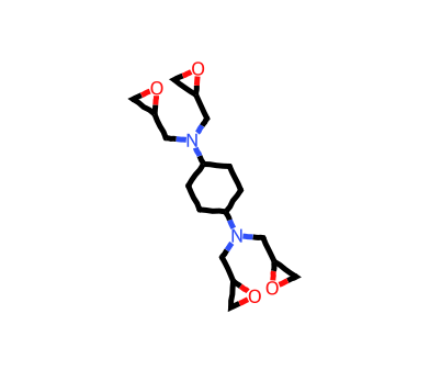 C1OC1CN(CC1CO1)C1CCC(N(CC2CO2)CC2CO2)CC1